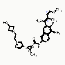 C=N/C=C\C(C)=C(/C)c1cc2cc(NC(=O)[C@H]3[C@@H](C)[C@@H]3c3cnn(CCN4CC(O)C4)c3)ncc2c(N)c1F